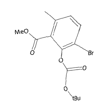 COC(=O)c1c(C)ccc(Br)c1OC(=O)OC(C)(C)C